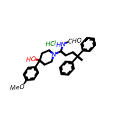 COc1ccc(C2(O)CCN(C(CCC(C)(c3ccccc3)c3ccccc3)NC=O)CC2)cc1.Cl